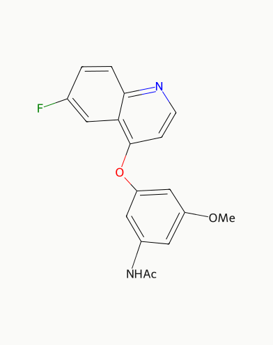 COc1cc(NC(C)=O)cc(Oc2ccnc3ccc(F)cc23)c1